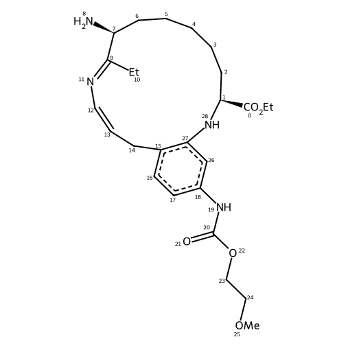 CCOC(=O)[C@@H]1CCCCC[C@H](N)/C(CC)=N/C=C\Cc2ccc(NC(=O)OCCOC)cc2N1